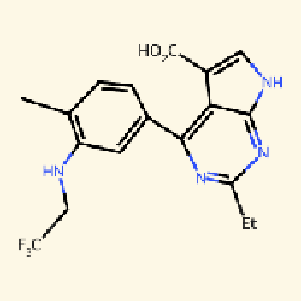 CCc1nc(-c2ccc(C)c(NCC(F)(F)F)c2)c2c(C(=O)O)c[nH]c2n1